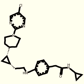 O=C(Cc1ccc(NCC[C@@H]2C[C@@H]2C2CCN(c3ncc(Cl)cn3)CC2)cc1)NC1CC1